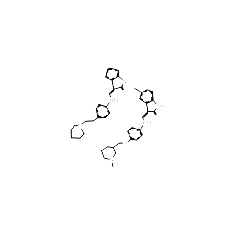 CN1CCCC(COc2ccc(N/C=C3\C(=O)Nc4ccc(Cl)cc43)cc2)C1.O=C1Nc2ccccc2/C1=C/Nc1ccc(CCN2CCCCC2)cc1